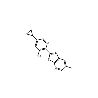 Cc1cnc2sc(-c3ncc(C4CC4)cc3S)nc2c1